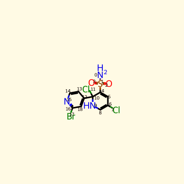 NS(=O)(=O)C1=CC(Cl)=CNC1(Cl)c1ccnc(Br)c1